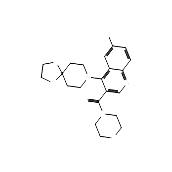 O=C(c1cnc2ccc(F)cc2c1N1CCC2(CC1)OCCO2)N1CCOCC1